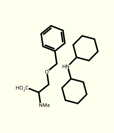 C1CCC(NC2CCCCC2)CC1.CNC(COCc1ccccc1)C(=O)O